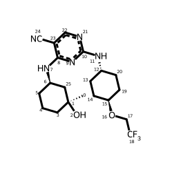 C[C@]1(O)CCC[C@@H](Nc2nc(N[C@H]3CC[C@H](OCC(F)(F)F)CC3)ncc2C#N)C1